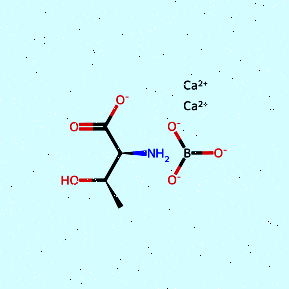 C[C@@H](O)[C@H](N)C(=O)[O-].[Ca+2].[Ca+2].[O-]B([O-])[O-]